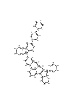 c1ccc(-c2ccc(-c3ccc4c(c3)c3ccccc3n4-c3ccc4c(c3)Sc3cc5c(c6cccc-4c36)c3ccccc3n5-c3ccccc3)cc2)cc1